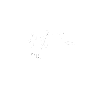 CCCCCCCCCCCCOC(=O)CCCCC(=O)OCC(COC(=O)CC12CC3CC(CC(C3)C1)C2)COC(=O)OCCCN(CC)CC